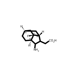 NC1C(CC(=O)O)[C@H]2C[C@H]3CC[C@H]1[C@]2(F)C3